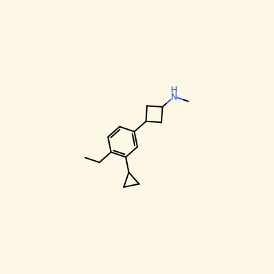 CCc1ccc(C2CC(NC)C2)cc1C1CC1